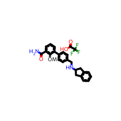 COc1c(C(N)=O)cccc1-c1ccc(CNC2Cc3ccccc3C2)cc1.O=C(O)C(F)(F)F